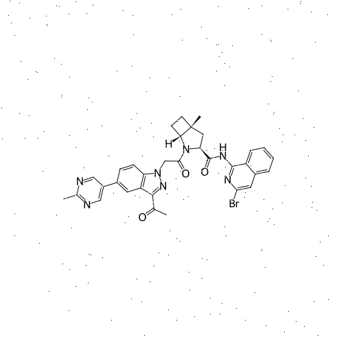 CC(=O)c1nn(CC(=O)N2[C@H](C(=O)Nc3nc(Br)cc4ccccc34)C[C@@]3(C)CC[C@@H]23)c2ccc(-c3cnc(C)nc3)cc12